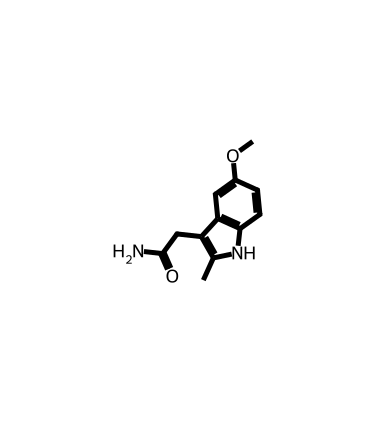 COc1ccc2[nH]c(C)c(CC(N)=O)c2c1